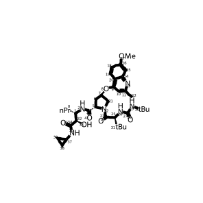 CCC[C@H](NC(=O)[C@@H]1C[C@@H](Oc2cc(C)nc3cc(OC)ccc23)CN1C(=O)[C@@H](NC(=O)NC(C)(C)C)C(C)(C)C)[C@@H](O)C(=O)NC1CC1